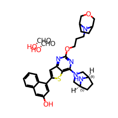 O=CO.O=CO.Oc1cc(-c2cc3nc(OCCCN4C5CCC4COC5)nc(N4C[C@H]5CC[C@@H](C4)N5)c3s2)c2ccccc2c1